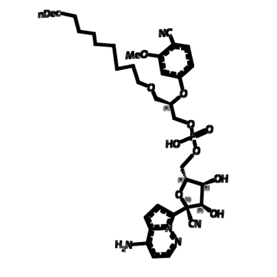 CCCCCCCCCCCCCCCCCCOC[C@H](COP(=O)(O)OC[C@H]1O[C@@](C#N)(c2ccc3c(N)ccnn23)[C@H](O)[C@@H]1O)Oc1ccc(C#N)c(OC)c1